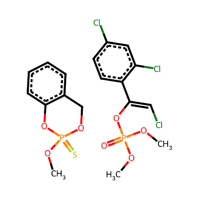 COP(=O)(OC)O/C(=C\Cl)c1ccc(Cl)cc1Cl.COP1(=S)OCc2ccccc2O1